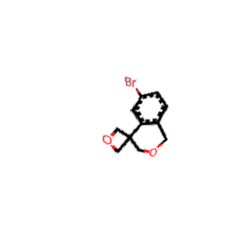 Brc1ccc2c(c1)C1(COC2)COC1